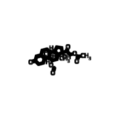 CC(=O)OCC(=O)[C@@]1(O)CC[C@H]2[C@@H]3CCC4=CC(=O)CC[C@]4(C)[C@H]3[C@@H](OC=O)C[C@@]21C